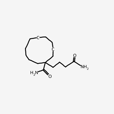 NC(=O)CCCC1(C(N)=O)CCCCCCCCCC1